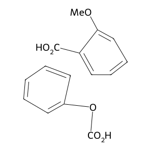 COc1ccccc1C(=O)O.O=C(O)Oc1ccccc1